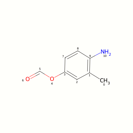 Cc1cc(OC=O)ccc1N